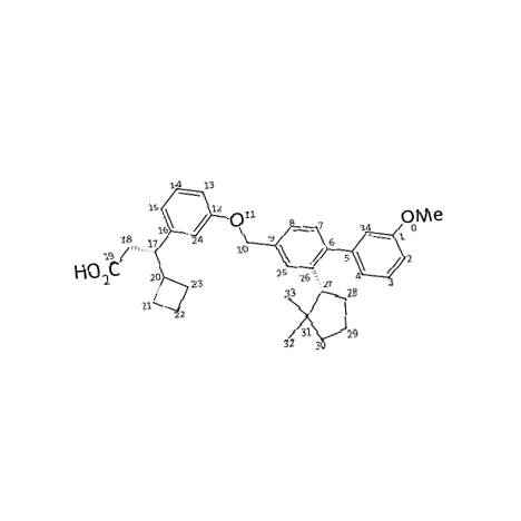 COc1cccc(-c2ccc(COc3cccc([C@@H](CC(=O)O)C4CCC4)c3)cc2[C@@H]2CCCC2(C)C)c1